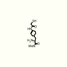 CNC(=O)[C@@H](N)CC1CC=C(NC(=O)CS)CC1